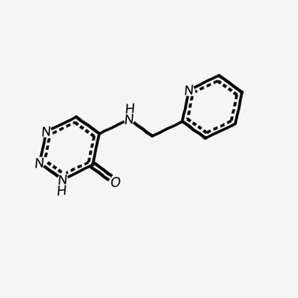 O=c1[nH]nncc1NCc1ccccn1